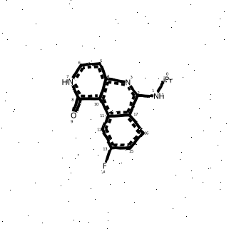 CC(C)Nc1nc2cc[nH]c(=O)c2c2cc(F)ccc12